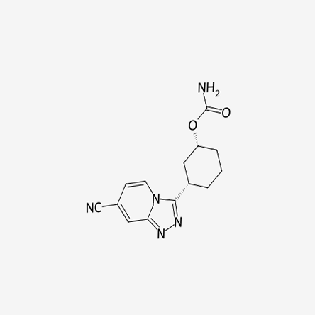 N#Cc1ccn2c([C@H]3CCC[C@@H](OC(N)=O)C3)nnc2c1